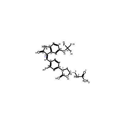 CC(=O)NC[C@H]1CN(c2ccc(/C=C3/C(=O)Nc4ccc(OC(F)(F)F)cc43)c(F)c2)C(=O)O1